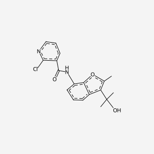 Cc1oc2c(NC(=O)c3cccnc3Cl)cccc2c1C(C)(C)O